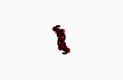 c1ccc(N(c2ccc3c(c2)oc2c3ccc3c2ccc2c4ccc(N(c5ccccc5)c5ccc6c(c5)sc5ccccc56)cc4oc23)c2ccc3c(c2)sc2ccccc23)cc1